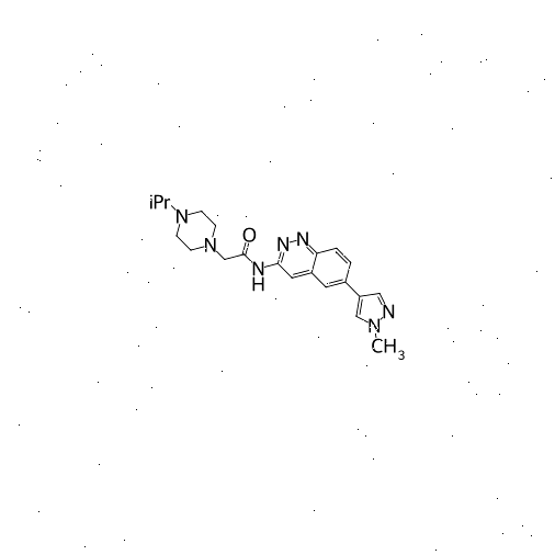 CC(C)N1CCN(CC(=O)Nc2cc3cc(-c4cnn(C)c4)ccc3nn2)CC1